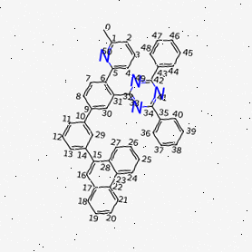 Cc1cccc(-c2ccc(-c3cccc(-c4cc5ccccc5c5ccccc45)c3)cc2-c2nc(-c3ccccc3)nc(-c3ccccc3)n2)n1